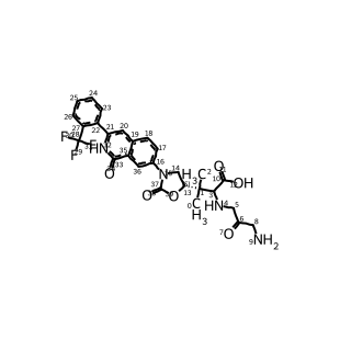 CC(C)(C(NCC(=O)CN)C(=O)O)[C@H]1CN(c2ccc3cc(-c4ccccc4C(F)(F)F)[nH]c(=O)c3c2)C(=O)O1